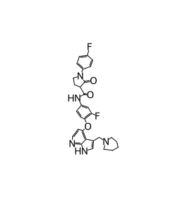 O=C(Nc1ccc(Oc2ccnc3[nH]cc(CN4CCCCC4)c23)c(F)c1)C1CCN(c2ccc(F)cc2)C1=O